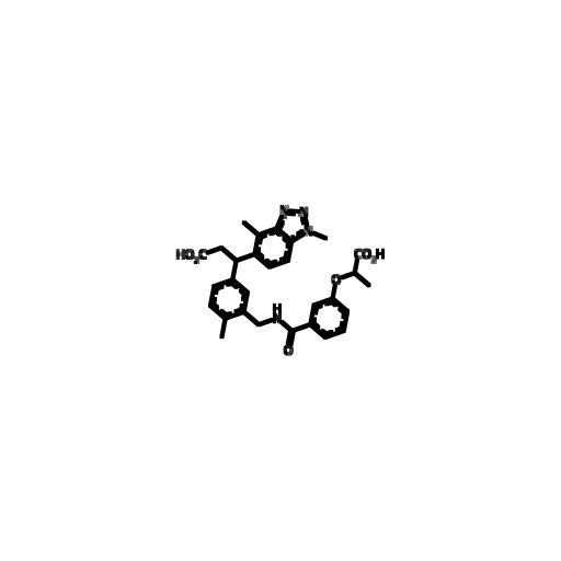 Cc1ccc(C(CC(=O)O)c2ccc3c(nnn3C)c2C)cc1CNC(=O)c1cccc(OC(C)C(=O)O)c1